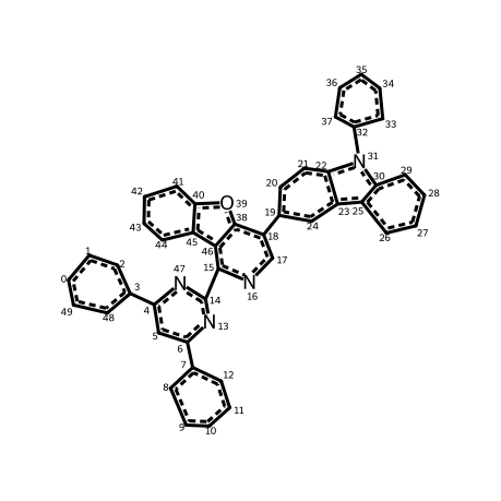 c1ccc(-c2cc(-c3ccccc3)nc(-c3ncc(-c4ccc5c(c4)c4ccccc4n5-c4ccccc4)c4oc5ccccc5c34)n2)cc1